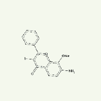 COc1c(N)ccc2c(=O)c(I)c(-c3ccccc3)oc12